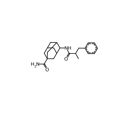 CC(Cc1ccccc1)C(=O)NC1C2CC3CC1CC(C(N)=O)(C3)C2